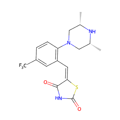 C[C@@H]1CN(c2ccc(C(F)(F)F)cc2C=C2SC(=O)NC2=O)C[C@H](C)N1